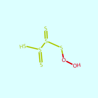 OOSS(=S)S(=S)S